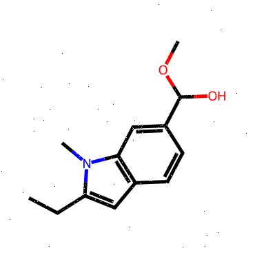 CCc1cc2ccc(C(O)OC)cc2n1C